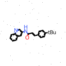 CC(C)(C)c1ccc(C=CC(=O)Nc2cnc3ccccc3c2)cc1